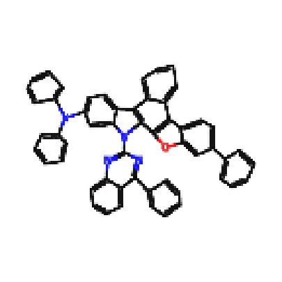 c1ccc(-c2ccc3c(c2)oc2c3c3ccccc3c3c4ccc(N(c5ccccc5)c5ccccc5)cc4n(-c4nc(-c5ccccc5)c5ccccc5n4)c23)cc1